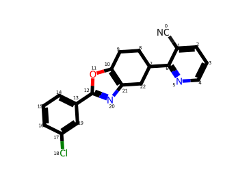 N#Cc1cccnc1C1CCc2oc(-c3cccc(Cl)c3)nc2C1